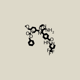 COCC1CCC(c2nc(-c3ccc(C(=O)Nc4cc(C(F)(F)F)ccn4)cc3)c3c(N)nccn23)CN1C(=O)OCc1ccccc1